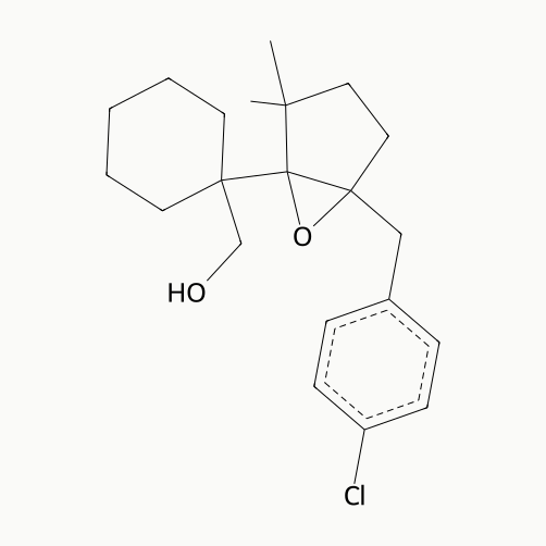 CC1(C)CCC2(Cc3ccc(Cl)cc3)OC12C1(CO)CCCCC1